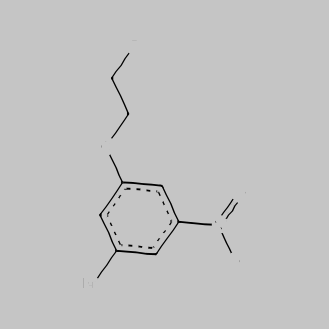 O=[N+]([O-])c1cc(Br)cc(OCCF)c1